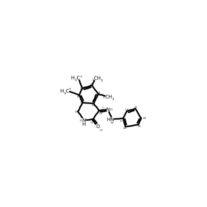 Cc1c(C)c(C)c2c(c1C)CNC(=O)/C2=N\Nc1ccccc1